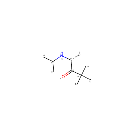 CC(C)N[C@H](C)C(=O)C(C)(C)C